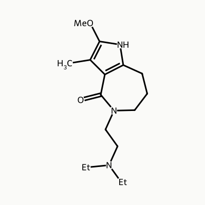 CCN(CC)CCN1CCCc2[nH]c(OC)c(C)c2C1=O